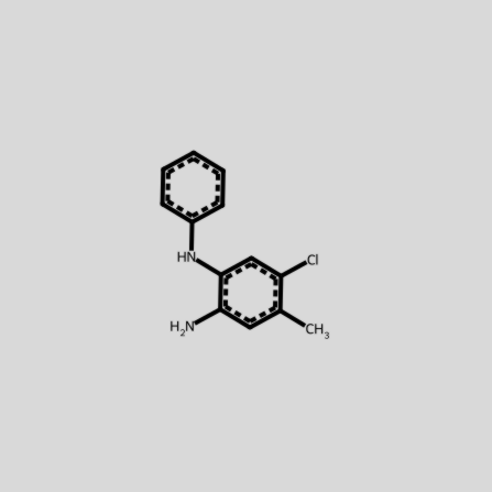 Cc1cc(N)c(Nc2ccccc2)cc1Cl